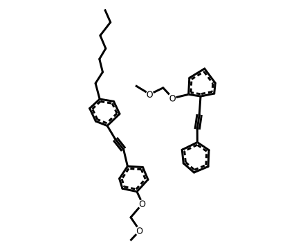 CCCCCCCc1ccc(C#Cc2ccc(OCOC)cc2)cc1.COCOc1ccccc1C#Cc1ccccc1